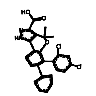 CC1(C)Oc2c(ccc(-c3ccccc3)c2-c2ccc(Cl)cc2Cl)-c2[nH]nc(C(=O)O)c21